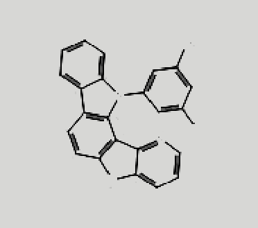 N#Cc1cc(Br)cc(-n2c3ccccc3c3ccc4oc5cccnc5c4c32)c1